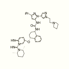 CC(C)c1cc(NC(=O)NC2CC[C@@H](Oc3ccc(=N)n(C(=N)N4[C@H](C)CCC[C@@H]4C)c3)c3ccccc32)n(-c2cnn(CCN3CCCC3)c2)n1